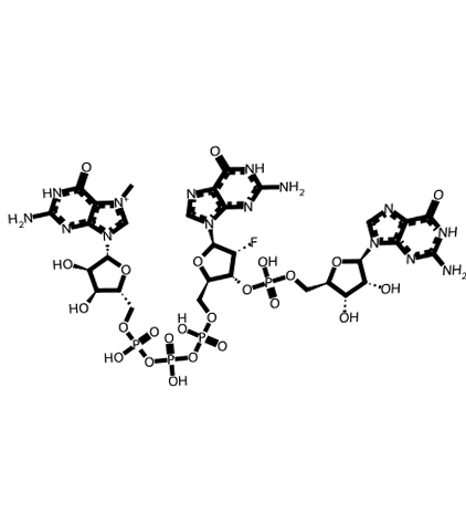 C[n+]1cn([C@@H]2O[C@H](COP(=O)(O)OP(=O)(O)OP(=O)(O)OC[C@H]3O[C@@H](n4cnc5c(=O)[nH]c(N)nc54)[C@H](F)[C@@H]3OP(=O)(O)OC[C@H]3O[C@@H](n4cnc5c(=O)[nH]c(N)nc54)[C@H](O)[C@@H]3O)[C@@H](O)[C@H]2O)c2nc(N)[nH]c(=O)c21